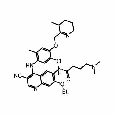 CCOc1cc2ncc(C#N)c(Nc3cc(Cl)c(OCC4=NCCCC4C)cc3C)c2cc1NC(=O)CCCN(C)C